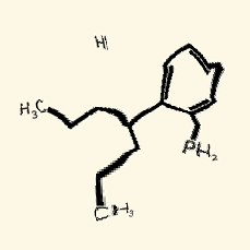 CCCC(CCC)c1ccccc1P.I